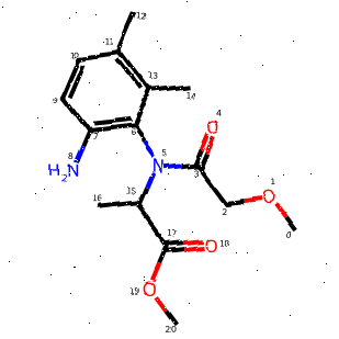 COCC(=O)N(c1c(N)ccc(C)c1C)C(C)C(=O)OC